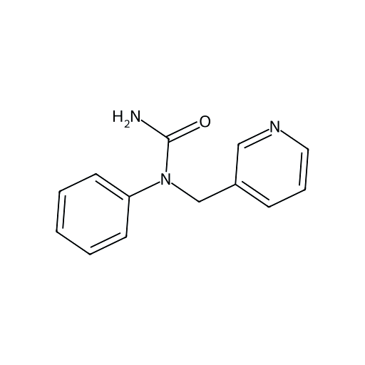 NC(=O)N(Cc1cccnc1)c1ccccc1